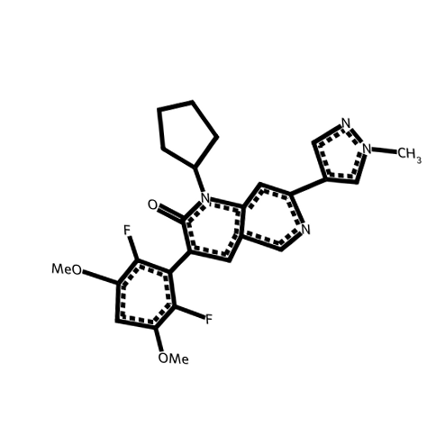 COc1cc(OC)c(F)c(-c2cc3cnc(-c4cnn(C)c4)cc3n(C3CCCC3)c2=O)c1F